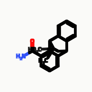 CC1(C(=O)O)CC2c3ccccc3C1c1c(C(N)=O)cccc12